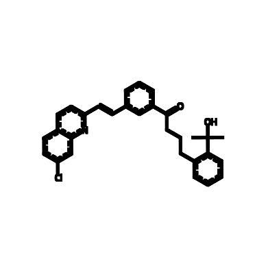 CC(C)(O)c1ccccc1CCCC(=O)c1cccc(C=Cc2ccc3ccc(Cl)cc3n2)c1